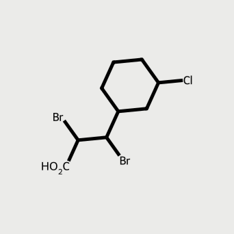 O=C(O)C(Br)C(Br)C1CCCC(Cl)C1